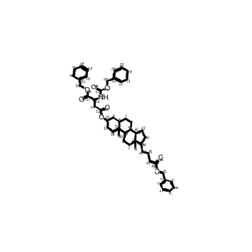 CC12CCC3C(CCC4CC(OC(=O)CC(NC(=O)OCc5ccccc5)C(=O)OCc5ccccc5)CCC43C)C1CCC2CCCC(=O)OCc1ccccc1